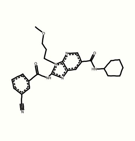 COCCCn1c(NC(=O)c2cccc(C#N)c2)nc2cc(C(=O)NC3CCCCC3)cnc21